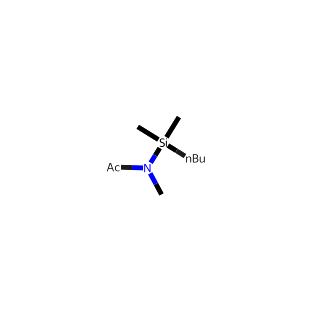 CCCC[Si](C)(C)N(C)C(C)=O